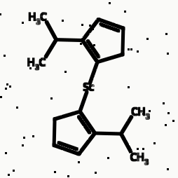 CC(C)C1=[C]([Sc][C]2=C(C(C)C)C=CC2)CC=C1